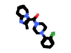 [CH2]c1nc2n(c1C(=O)N1CCN(c3ccccc3Cl)CC1)CCCC2